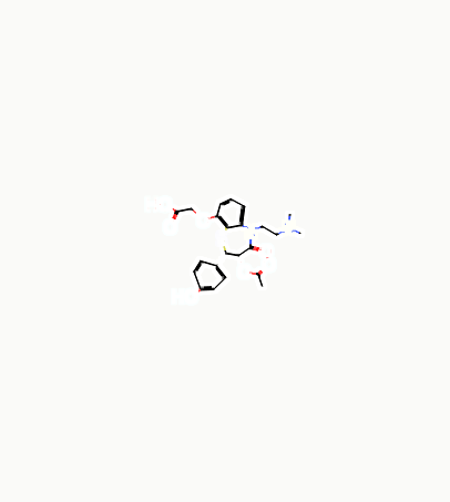 CC(=O)O[C@H]1C(=O)N(CCN(C)C)c2cccc(OCC(=O)O)c2S[C@H]1c1ccc(O)cc1